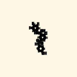 O=S(=O)(NC1CCC(O)CC1)c1ccc(Cl)c(C(O)Nc2cc(F)c(F)c(F)c2)c1